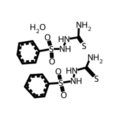 NC(=S)NNS(=O)(=O)c1ccccc1.NC(=S)NNS(=O)(=O)c1ccccc1.O